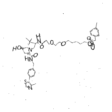 Cc1ccc(CS(=O)(=O)OCCCCCOCCOCCC(=O)NC(CN2C[C@H](O)C[C@H]2C(=O)NCc2ccc(-c3scnc3C)cc2)C(C)(C)C)cc1